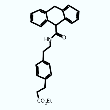 CCOC(=O)CCc1ccc(CCNC(=O)C2c3ccccc3Cc3ccccc32)cc1